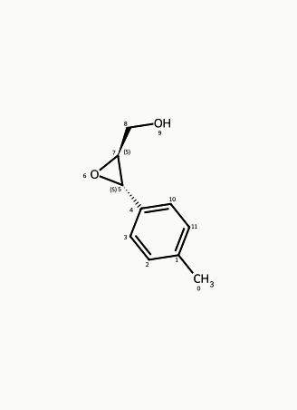 Cc1ccc([C@@H]2O[C@H]2CO)cc1